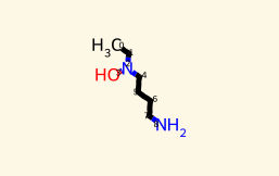 CCN(O)CCCCN